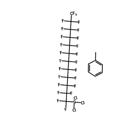 Cc1ccccc1.FC(F)(F)C(F)(F)C(F)(F)C(F)(F)C(F)(F)C(F)(F)C(F)(F)C(F)(F)C(F)(F)C(F)(F)C(F)(F)C(F)(F)[Si](Cl)(Cl)Cl